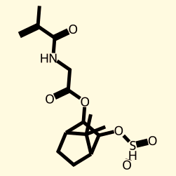 C=C(C)C(=O)NCC(=O)OC1C(O[SH](=O)=O)C2CCC1C2(C)C